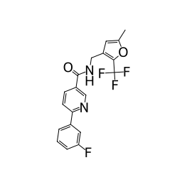 Cc1cc(CNC(=O)c2ccc(-c3cccc(F)c3)nc2)c(C(F)(F)F)o1